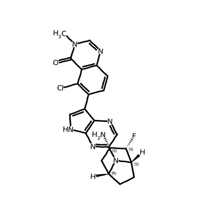 Cn1cnc2ccc(-c3c[nH]c4nc(N5[C@@H]6CC[C@H]5[C@@H](F)[C@@H](N)C6)cnc34)c(Cl)c2c1=O